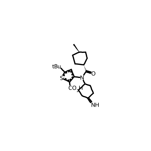 CC(C)(C)c1cc(N(C(=O)[C@H]2CC[C@H](C)CC2)C2CCC(=N)CC2)c(C(=O)O)s1